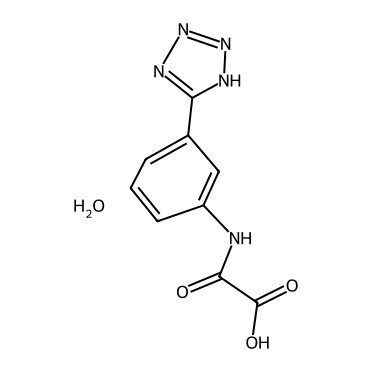 O.O=C(O)C(=O)Nc1cccc(-c2nnn[nH]2)c1